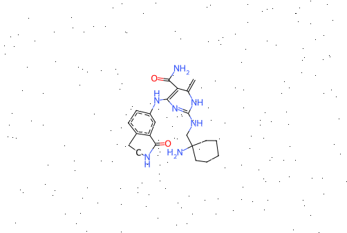 C=C1NC(NCC2(N)CCCCC2)=NC(Nc2ccc3c(c2)C(=O)NCC3)=C1C(N)=O